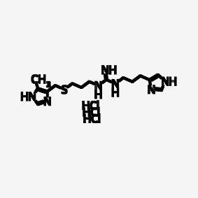 Cc1[nH]cnc1CSCCCNC(=N)NCCCc1c[nH]cn1.Cl.Cl.Cl